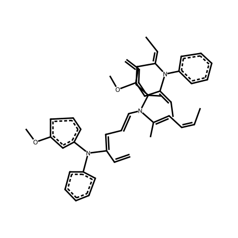 C=C/C(=C\C(=C/C)N(C(/C=C\C(C)N(/C=C/C=C(\C=C)N(c1ccccc1)c1cccc(OC)c1)/C(C)=C/C=C\C)=C/C)c1ccccc1)OC